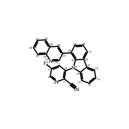 N#Cc1ncc(F)cc1-n1c2ccccc2c2cccc(-c3cnc4ccccc4c3)c21